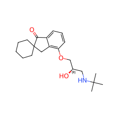 CC(C)(C)NC[C@@H](O)COc1cccc2c1CC1(CCCCC1)C2=O